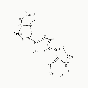 c1ccc2c(-c3ccc(-c4c[nH]c5ccccc45)cc3)c[nH]c2c1